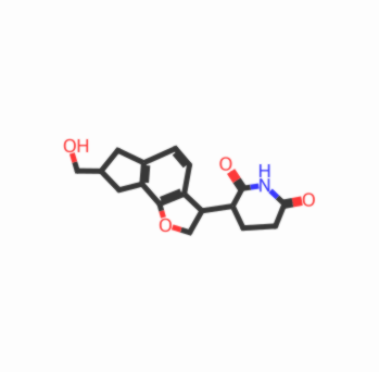 O=C1CCC(C2COc3c2ccc2c3CC(CO)C2)C(=O)N1